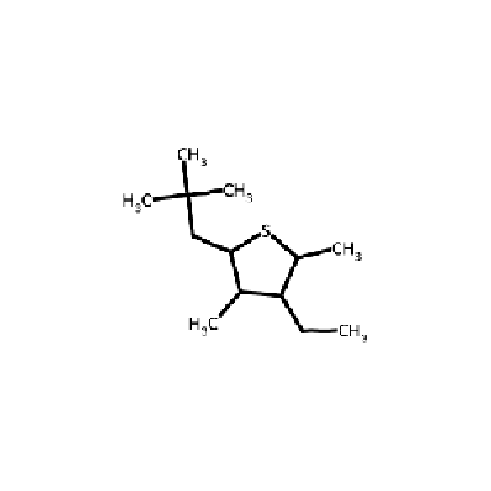 CCC1C(C)SC(CC(C)(C)C)C1C